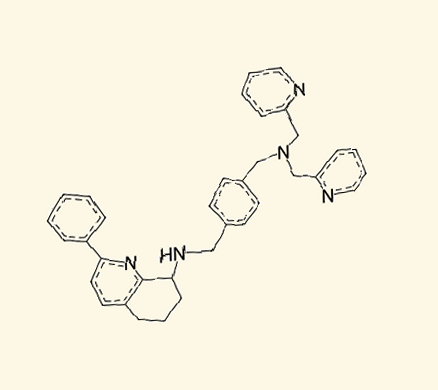 c1ccc(-c2ccc3c(n2)C(NCc2ccc(CN(Cc4ccccn4)Cc4ccccn4)cc2)CCC3)cc1